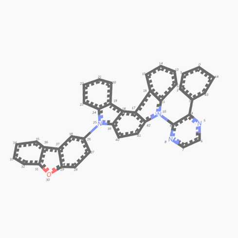 c1ccc(-c2nccnc2-n2c3ccccc3c3c4c5ccccc5n(-c5ccc6oc7ccccc7c6c5)c4ccc32)cc1